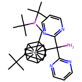 CC(C)(C)P(C[C]12[CH]3[C]4(C(C)(C)C)[CH]5[C]1(C(P)(c1ncccn1)c1ncccn1)[Fe]35241678[CH]2[CH]1[CH]6[CH]7[CH]28)C(C)(C)C